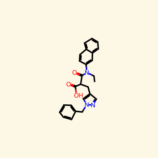 CCN(C(=O)C(Cc1cnn(Cc2ccccc2)c1)C(=O)O)c1ccc2ccccc2c1